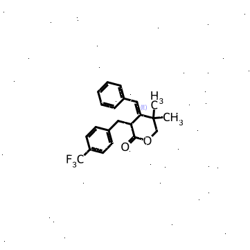 CC1(C)COC(=O)C(Cc2ccc(C(F)(F)F)cc2)/C1=C\c1ccccc1